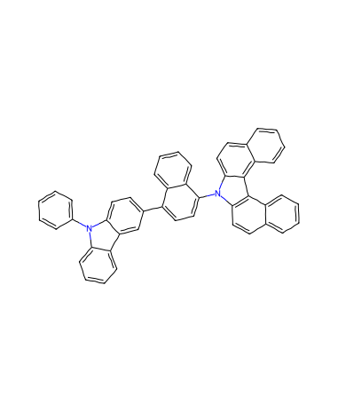 c1ccc(-n2c3ccccc3c3cc(-c4ccc(-n5c6ccc7ccccc7c6c6c7ccccc7ccc65)c5ccccc45)ccc32)cc1